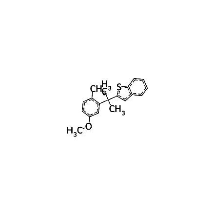 COc1ccc(C)c(C(C)(C)c2cc3ccccc3s2)c1